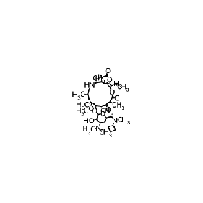 CC[C@H]1OC(=O)C(C)C(=O)[C@H](C)[C@@H](OC2OC(CN(C)C3CCC3)CC(N(C)C)C2O)[C@](C)(OC)C[C@@H](C)CN[C@H](C)[C@H]2NC(=O)O[C@@]21C